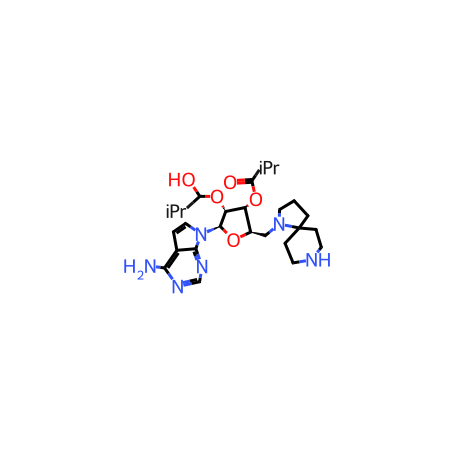 CC(C)C(=O)O[C@H]1[C@@H](OC(O)C(C)C)[C@H](n2ccc3c(N)ncnc32)O[C@@H]1CN1CCCC12CCNCC2